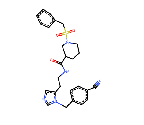 N#Cc1ccc(Cn2cncc2CCNC(=O)C2CCCN(S(=O)(=O)Cc3ccccc3)C2)cc1